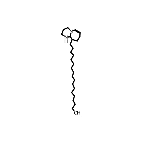 CCCCCCCCCCCCCCCCCCC1CCC=CN2CCCNC12